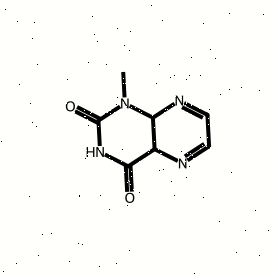 CN1C(=O)NC(=O)C2N=CC=NC21